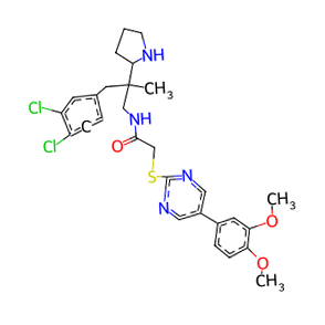 COc1ccc(-c2cnc(SCC(=O)NCC(C)(Cc3ccc(Cl)c(Cl)c3)C3CCCN3)nc2)cc1OC